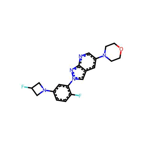 Fc1ccc(N2CC(F)C2)cc1-n1cc2cc(N3CCOCC3)cnc2n1